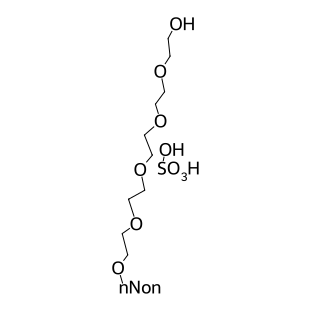 CCCCCCCCCOCCOCCOCCOCCOCCO.O=S(=O)(O)O